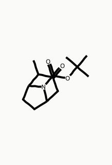 CC1C(=O)CC2CCC1N2C(=O)OC(C)(C)C